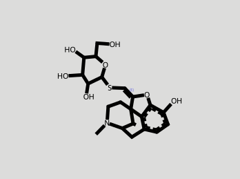 CC1C2Cc3ccc(O)c4c3C1(CCN2C)/C(=C\SC1OC(CO)C(O)C(O)C1O)O4